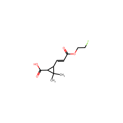 CC1(C)C(C=CC(=O)OCCF)C1C(=O)O